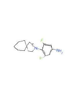 Nc1cc(F)c(N2CCC3(CCCCC3)CC2)c(F)c1